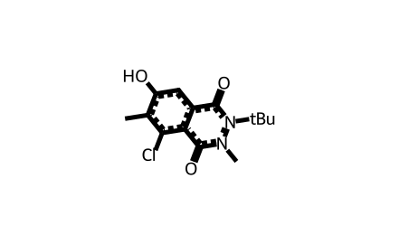 Cc1c(O)cc2c(=O)n(C(C)(C)C)n(C)c(=O)c2c1Cl